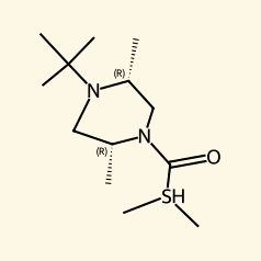 C[C@@H]1CN(C(C)(C)C)[C@H](C)CN1C(=O)[SH](C)C